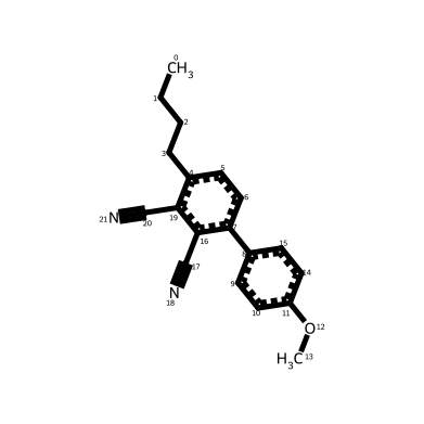 CCCCc1ccc(-c2ccc(OC)cc2)c(C#N)c1C#N